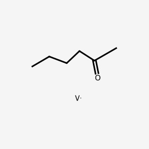 CCCCC(C)=O.[V]